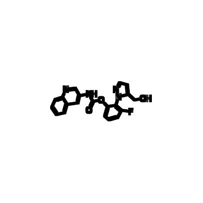 O=C(Nc1cnc2ccccc2c1)Oc1cccc(F)c1-n1nccc1CO